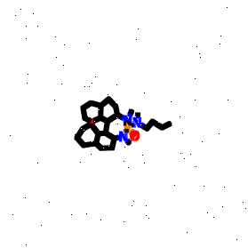 CCCCN(C)P1(=O)N(C)C2CCC3CCCCC3C2C2C3CCCCC3CCC2N1C